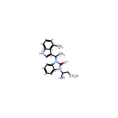 CCCC(CC(=O)O)n1c(=O)n(C(C)c2c[nH]c3cccc(C)c23)c2ccccc21